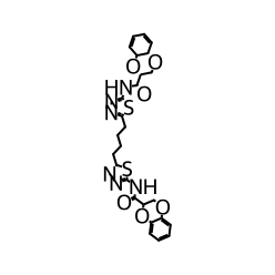 O=C(Nc1nnc(CCCCc2nnc(NC(=O)C3COC4C=CC=CC4O3)s2)s1)C1COc2ccccc2O1